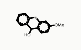 COc1ccc2c(c1)Sc1ccccc1C2O